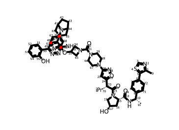 Cc1ncsc1-c1ccc([C@H](C)NC(=O)[C@@H]2C[C@@H](O)CN2C(=O)[C@@H](c2cc(N3CCN(C(=O)N4CC(Oc5cc(N6C7CCC6CN(c6cc(-c8ccccc8O)nnc6N)C7)ccn5)C4)CC3)no2)C(C)C)cc1